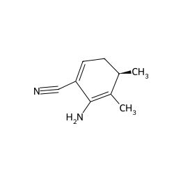 CC1=C(N)C(C#N)=CC[C@H]1C